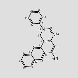 Clc1cc2c(c3cc4ccccc4cc13)CN(c1ccccc1)C=N2